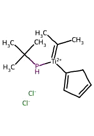 C[C](C)=[Ti+2]([PH]C(C)(C)C)[C]1=CC=CC1.[Cl-].[Cl-]